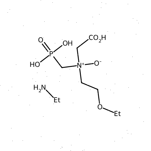 CCN.CCOCC[N+]([O-])(CC(=O)O)CP(=O)(O)O